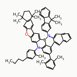 CCCCc1ccc(N2c3cc4oc5cc6c(cc5c4cc3B3c4c(cc(-c5c(C)cccc5C)cc42)-c2cc4ccccc4cc2N3c2ccc3c(c2)C(C)(C)c2ccccc2-3)C(C)(C)CCC6(C)C)c(C)c1